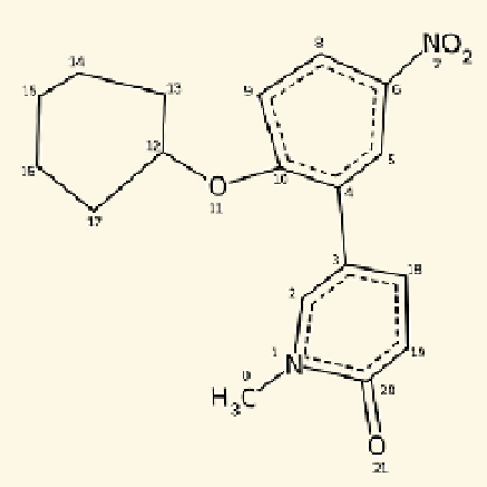 Cn1cc(-c2cc([N+](=O)[O-])ccc2OC2CCCCC2)ccc1=O